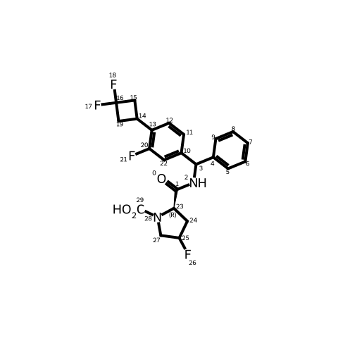 O=C(NC(c1ccccc1)c1ccc(C2CC(F)(F)C2)c(F)c1)[C@H]1CC(F)CN1C(=O)O